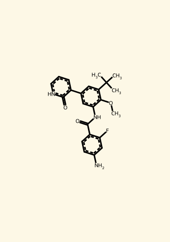 COc1c(NC(=O)c2ccc(N)cc2F)cc(-c2ccc[nH]c2=O)cc1C(C)(C)C